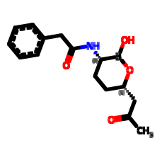 CC(=O)C[C@@H]1CC[C@H](NC(=O)Cc2ccccc2)B(O)O1